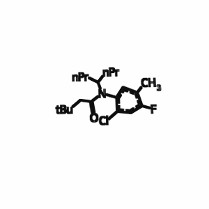 CCCC(CCC)N(C(=O)CC(C)(C)C)c1cc(C)c(F)cc1Cl